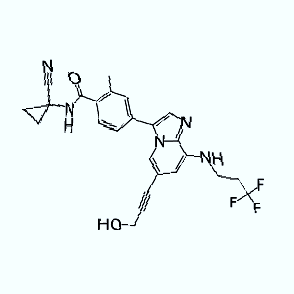 Cc1cc(-c2cnc3c(NCCC(F)(F)F)cc(C#CCO)cn23)ccc1C(=O)NC1(C#N)CC1